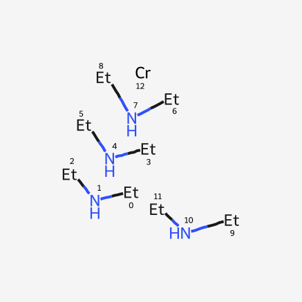 CCNCC.CCNCC.CCNCC.CCNCC.[Cr]